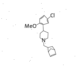 COc1ccc(Cl)cc1C1CCN(CC2CC3C=CC2C3)CC1